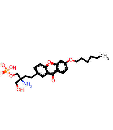 CCCCCCOc1ccc2c(=O)c3cc(CCC(N)(CO)COP(=O)(O)O)ccc3oc2c1